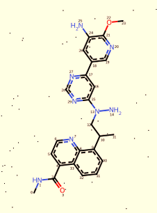 CNC(=O)c1ccnc2c(C(C)CN(N)c3cc(-c4cnc(OC)c(N)c4)ncn3)cccc12